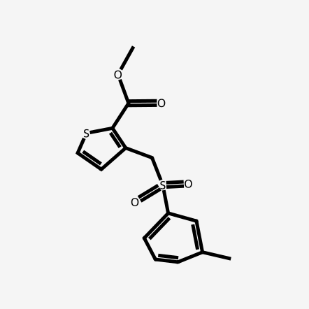 COC(=O)c1sccc1CS(=O)(=O)c1cccc(C)c1